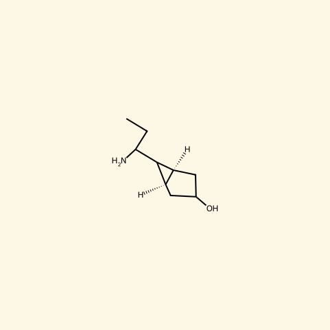 CCC(N)C1[C@H]2CC(O)C[C@@H]12